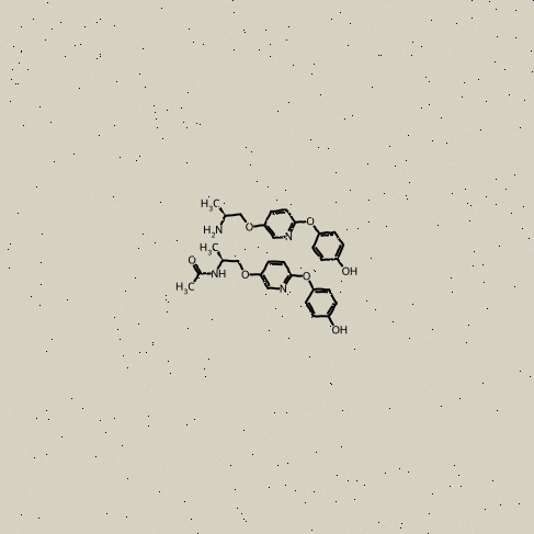 CC(=O)N[C@@H](C)COc1ccc(Oc2ccc(O)cc2)nc1.C[C@H](N)COc1ccc(Oc2ccc(O)cc2)nc1